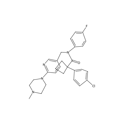 CN1CCN(c2ccc(CN(C(=O)C3(c4ccc(Cl)cc4)CCC3)c3ccc(F)cc3)cn2)CC1